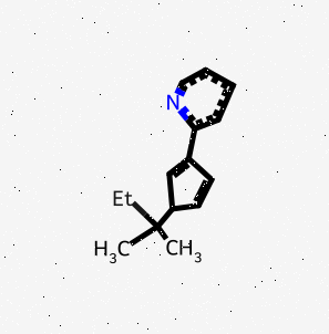 CCC(C)(C)C1C=CC(c2ccccn2)=C1